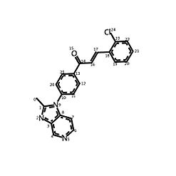 Cc1nc2cnccc2n1-c1ccc(C(=O)C=Cc2ccccc2Cl)cc1